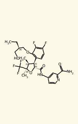 CC[C@H](CO)COc1c([C@H]2[C@H](C(=O)Nc3ccnc(C(N)=O)c3)O[C@@](C)(C(F)(F)F)[C@H]2C)ccc(F)c1F